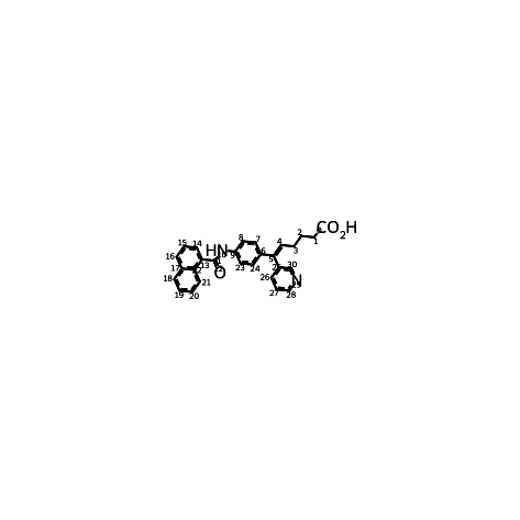 O=C(O)CCC/C=C(/c1ccc(NC(=O)c2cccc3ccccc23)cc1)c1cccnc1